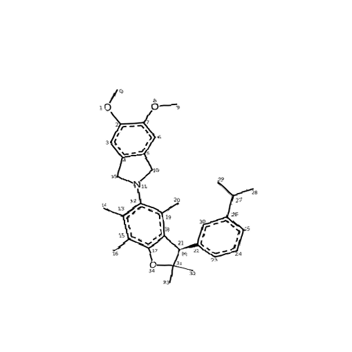 COc1cc2c(cc1OC)CN(c1c(C)c(C)c3c(c1C)[C@@H](c1cccc(C(C)C)c1)C(C)(C)O3)C2